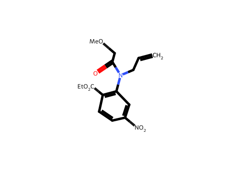 C=CCN(C(=O)COC)c1cc([N+](=O)[O-])ccc1C(=O)OCC